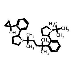 CC(C)(CCC(C)(C)N1CCCC1c1ccccc1C1(O)CC1)c1ccccc1C1CCCN1C(C)(C)C